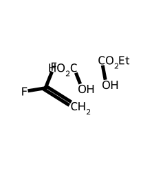 C=C(F)F.CCOC(=O)O.O=C(O)O